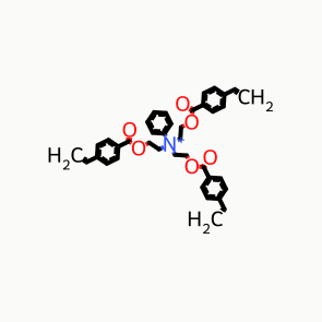 C=Cc1ccc(C(=O)OCC[N+](CCOC(=O)c2ccc(C=C)cc2)(CCOC(=O)c2ccc(C=C)cc2)c2ccccc2)cc1